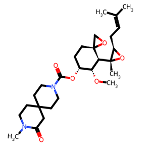 CO[C@@H]1[C@H](OC(=O)N2CCC3(CCN(C)C(=O)C3)CC2)CC[C@]2(CO2)[C@H]1[C@@]1(C)O[C@@H]1CC=C(C)C